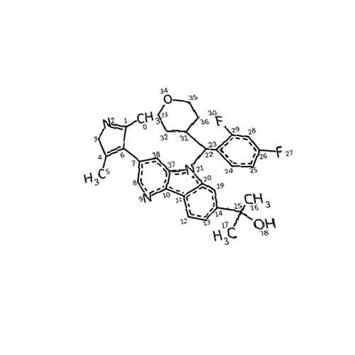 CC1=NCC(C)=C1c1cnc2c3ccc(C(C)(C)O)cc3n(C(c3ccc(F)cc3F)C3CCOCC3)c2c1